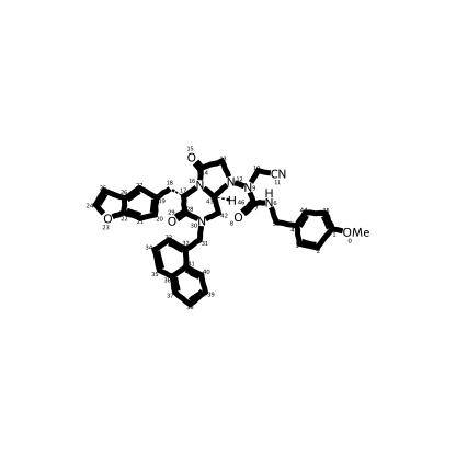 COc1ccc(CNC(=O)N(CC#N)N2CC(=O)N3[C@@H](Cc4ccc5occc5c4)C(=O)N(Cc4cccc5ccccc45)C[C@@H]32)cc1